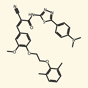 COc1cc(C=C(C#N)C(=O)Nc2nnc(-c3ccc(N(C)C)cc3)s2)ccc1OCCOc1c(C)cccc1C